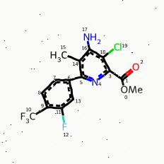 COC(=O)c1nc(-c2ccc(C(F)(F)F)c(F)c2)c(C)c(N)c1Cl